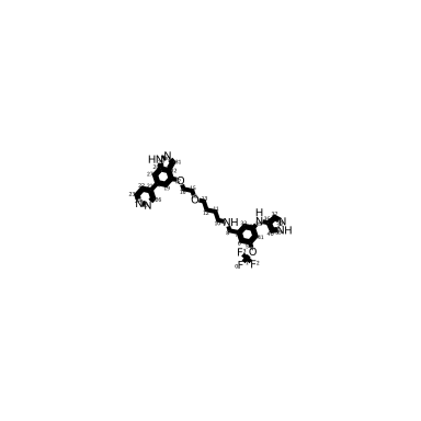 FC(F)(F)Oc1cc(CNCCCCOCCOc2cc(-c3ccnnc3)cc3[nH]ncc23)cc(Nc2cn[nH]c2)c1